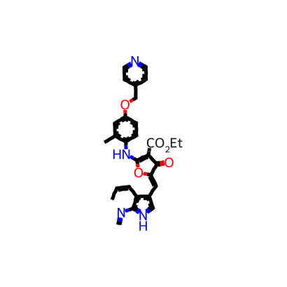 C=Nc1[nH]cc(/C=C2\OC(Nc3ccc(OCc4ccncc4)cc3C)=C(C(=O)OCC)C2=O)c1/C=C\C